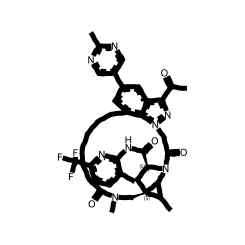 CC(=O)c1nn2c3c(cc(-c4cnc(C)nc4)cc13)CCCCCCC(=O)N(C)C[C@@]13C[C@@H](C(=O)Nc4nc(C(F)(F)F)ccc4C)N(C(=O)C2)C1C3C